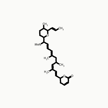 C/C=C/C1OC(C(/C=C/C=C(\C)CC(C)/C=C(C)\C=C\C2CC=CC(=O)O2)NC)CCC1C